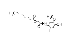 CCCCCCCC(=O)OCC(=O)NCc1cc(OC)c(O)cc1I